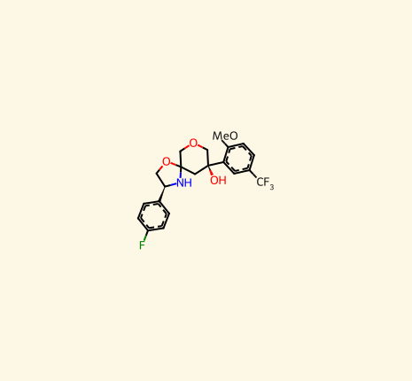 COc1ccc(C(F)(F)F)cc1[C@@]1(O)COCC2(C1)N[C@@H](c1ccc(F)cc1)CO2